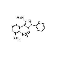 CNC1=C(c2cccc(C)c2[N+](=O)[O-])C(=O)C(C2=CCC=CO2)O1